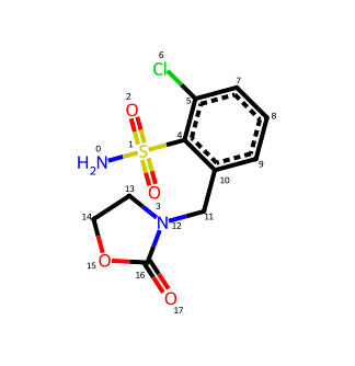 NS(=O)(=O)c1c(Cl)cccc1CN1CCOC1=O